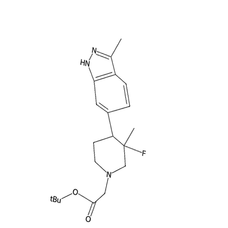 Cc1n[nH]c2cc(C3CCN(CC(=O)OC(C)(C)C)CC3(C)F)ccc12